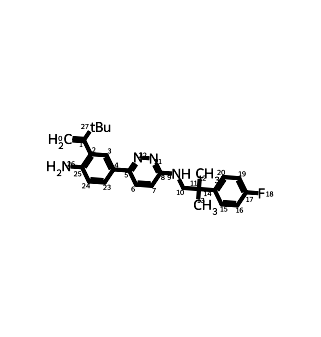 C=C(c1cc(-c2ccc(NCC(C)(C)c3ccc(F)cc3)nn2)ccc1N)C(C)(C)C